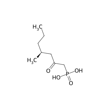 CCC[C@H](C)CC(=O)CP(=O)(O)O